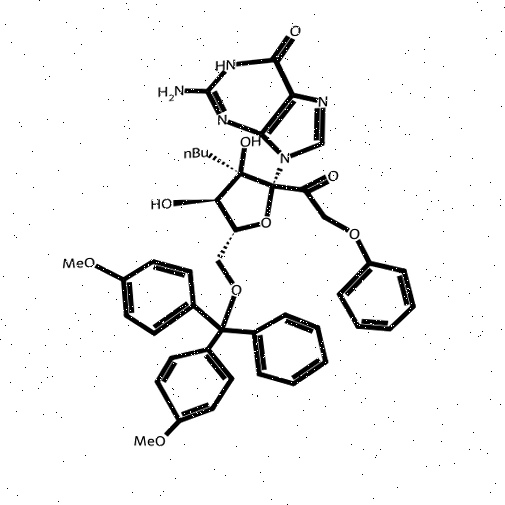 CCCC[C@@]1(O)[C@H](O)[C@@H](COC(c2ccccc2)(c2ccc(OC)cc2)c2ccc(OC)cc2)O[C@@]1(C(=O)COc1ccccc1)n1cnc2c(=O)[nH]c(N)nc21